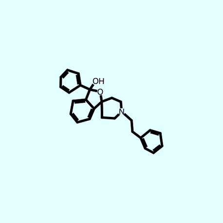 OC1(c2ccccc2)OC2(CCN(CCc3ccccc3)CC2)c2ccccc21